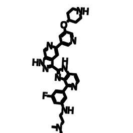 CN(C)CCNc1cc(F)cc(-c2nccc3[nH]c(-c4n[nH]c5cnc(-c6cncc(OC7CCNCC7)c6)cc45)nc23)c1